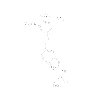 COc1cc(COc2ccc3nc(NC(=O)OC(C)(C)C)cn3n2)cc(OC)c1OC